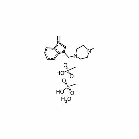 CN1CCN(Cc2c[nH]c3ccccc23)CC1.CS(=O)(=O)O.CS(=O)(=O)O.O